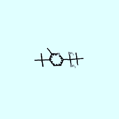 BC(B)(c1ccc(C(C)(C)C)c(C)n1)C(C)(C)C